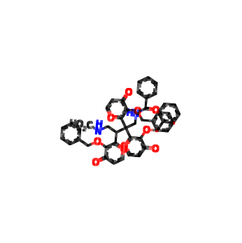 O=C(O)NCC(c1occc(=O)c1OCc1ccccc1)C(CNC(=O)c1ccccc1)(c1occc(=O)c1OCc1ccccc1)c1occc(=O)c1OCc1ccccc1